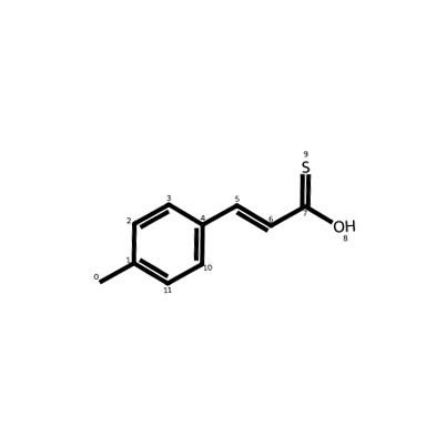 Cc1ccc(C=CC(O)=S)cc1